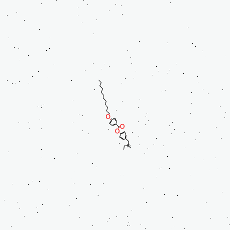 CCCCCCCCCCCCOc1ccc(C(=O)Oc2ccc(C[C@@H](C)CC)cc2)cc1